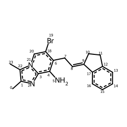 Cc1nc2c(N)c(CC=C3CCc4ccccc43)c(Br)cn2c1C